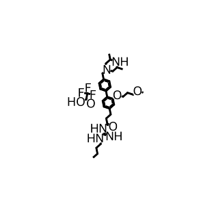 CCCCNC(=N)NC(=O)CCc1ccc(-c2ccc(CN3CC(C)NC(C)C3)cc2)c(OCCCOC)c1.O=C(O)C(F)(F)F